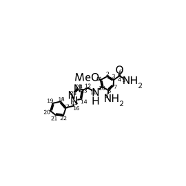 COc1cc(C(N)=O)cc(N)c1NCc1cn(Cc2ccccc2)nn1